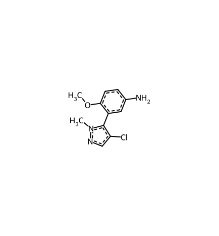 COc1ccc(N)cc1-c1c(Cl)cnn1C